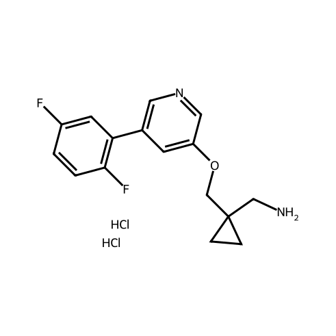 Cl.Cl.NCC1(COc2cncc(-c3cc(F)ccc3F)c2)CC1